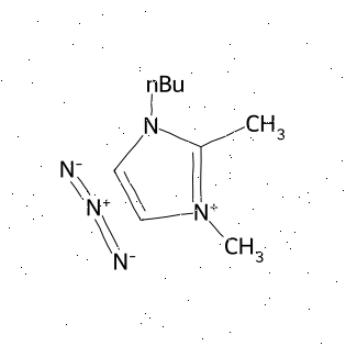 CCCCn1cc[n+](C)c1C.[N-]=[N+]=[N-]